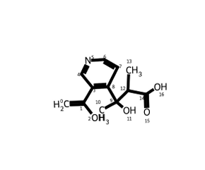 C=C(O)c1cnccc1C(C)(O)C(C)C(=O)O